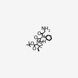 C=C[C@@]1(C)S[C@H]2[C@H](N(C(=O)CN)c3ccccc3)C(=O)N2C1C(=O)OC(C)(C)C